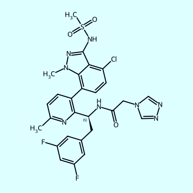 Cc1ccc(-c2ccc(Cl)c3c(NS(C)(=O)=O)nn(C)c23)c([C@H](Cc2cc(F)cc(F)c2)NC(=O)Cn2cnnc2)n1